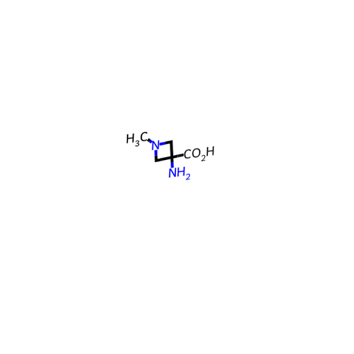 CN1CC(N)(C(=O)O)C1